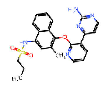 CCCS(=O)(=O)Nc1cc(C)c(Oc2ncccc2-c2ccnc(N)n2)c2ccccc12